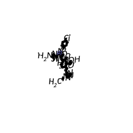 C=CCn1nnnc1SCC1=C(C(=O)O)N2C(=O)C(NC(=O)/C(=N\Oc3ccc(Cl)cc3)c3nsc(N)n3)[C@H]2SC1